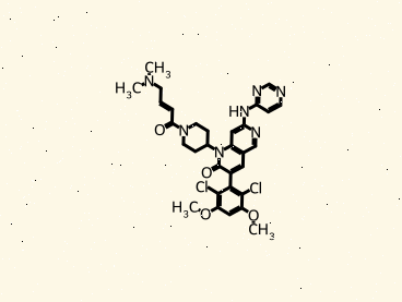 COc1cc(OC)c(Cl)c(-c2cc3cnc(Nc4ccncn4)cc3n(C3CCN(C(=O)/C=C/CN(C)C)CC3)c2=O)c1Cl